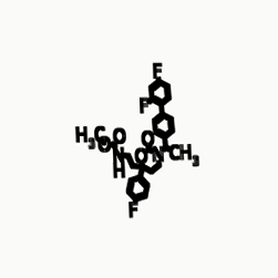 COC(=O)NCCC1(c2ccc(F)cc2)CCN(C(C)c2ccc(-c3ccc(F)cc3F)cc2)C(=O)O1